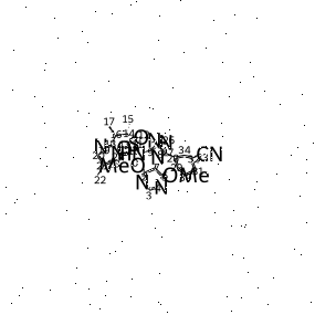 COc1ncnc(OC)c1-n1c(NS(=O)(=O)[C@@H](C)[C@H](C)c2ncc(C)cn2)nnc1-c1cccc(C#N)c1